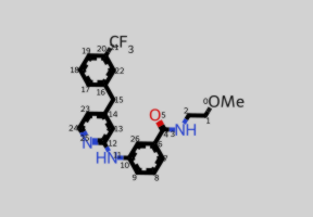 COCCNC(=O)c1cccc(Nc2cc(Cc3cccc(C(F)(F)F)c3)ccn2)c1